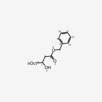 CCCCCCCCC(O)CC(=O)OCc1ccccc1